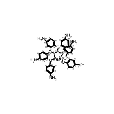 CC(C)c1ccc(OP2(Oc3ccc(N)cc3)=NP(Oc3ccc(N)cc3)N(Oc3ccc(N)cc3)P(Oc3ccc(N)cc3)N2Oc2ccc(N)cc2)cc1